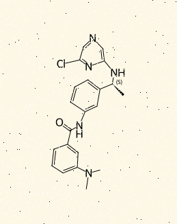 C[C@H](Nc1cncc(Cl)n1)c1cccc(NC(=O)c2cccc(N(C)C)c2)c1